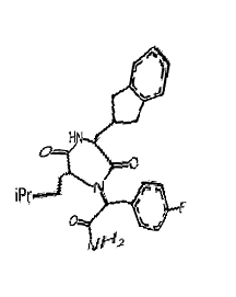 CC(C)CC1C(=O)NC(C2Cc3ccccc3C2)C(=O)N1C(C(N)=O)c1ccc(F)cc1